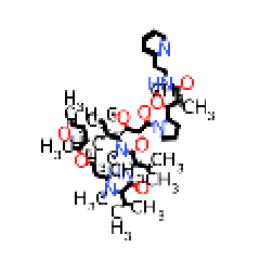 CC[C@H](C)[C@@H](C(CC(=O)N1CCCC1C(OC)[C@@H](C)C(=O)NCCc1ccccn1)OC)N(C)C(=O)[C@@H](NC(=O)C(C(C)C)N(C)C(C)CCOC(C)CCC(C)=O)C(C)C